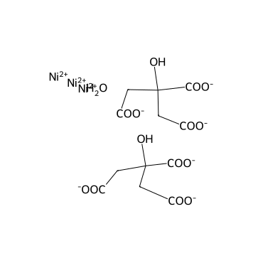 O.O=C([O-])CC(O)(CC(=O)[O-])C(=O)[O-].O=C([O-])CC(O)(CC(=O)[O-])C(=O)[O-].[Ni+2].[Ni+2].[Ni+2]